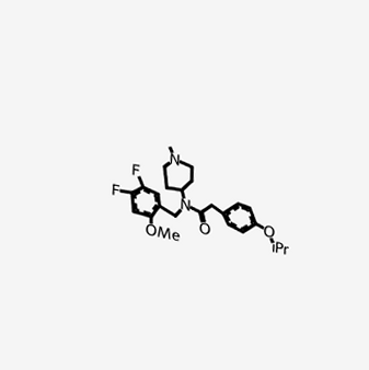 COc1cc(F)c(F)cc1CN(C(=O)Cc1ccc(OC(C)C)cc1)C1CCN(C)CC1